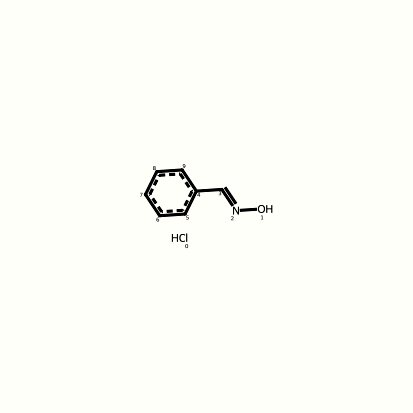 Cl.ON=Cc1ccccc1